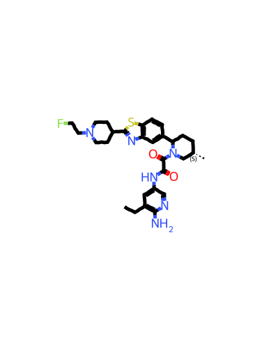 CCc1cc(NC(=O)C(=O)N2C[C@@H](C)CCC2c2ccc3sc(C4CCN(CCF)CC4)nc3c2)cnc1N